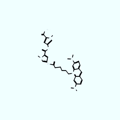 COC(=O)c1cc(NC(=O)c2cc(NC(=O)CCCCC[n+]3c4cc(N(C)C)ccc4cc4ccc(N(C)C)cc43)cn2C)cn1C